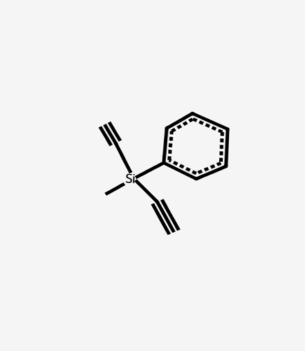 C#C[Si](C)(C#C)c1ccccc1